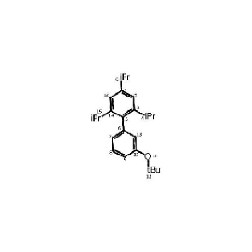 CC(C)c1cc(C(C)C)c(-c2cccc(OC(C)(C)C)c2)c(C(C)C)c1